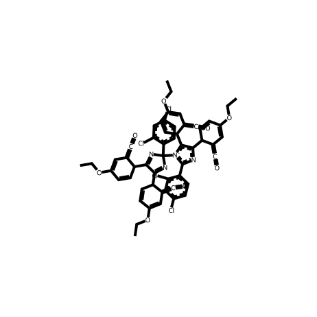 CCOC1=CC(=C=O)C(C2=NC(c3ccc(Cl)cc3Cl)(n3c(-c4ccc(Cl)cc4Cl)nc(C4C=CC(OCC)=CC4=C=O)c3C3C=CC(OCC)=CC3=C=O)N=C2C2C=CC(OCC)=CC2=C=O)C=C1